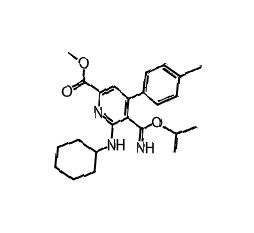 COC(=O)c1cc(-c2ccc(C)cc2)c(C(=N)OC(C)C)c(NC2CCCCC2)n1